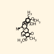 COC1=C(C)C(=O)C2=C3C1=NCC3N1C(C2)C2c3c(cc(C)c(OC)c3O)CC([C@@H]1C#N)N2C